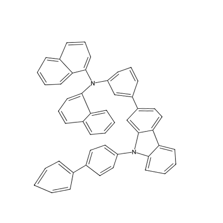 c1ccc(-c2ccc(-n3c4ccccc4c4ccc(-c5cccc(N(c6cccc7ccccc67)c6cccc7ccccc67)c5)cc43)cc2)cc1